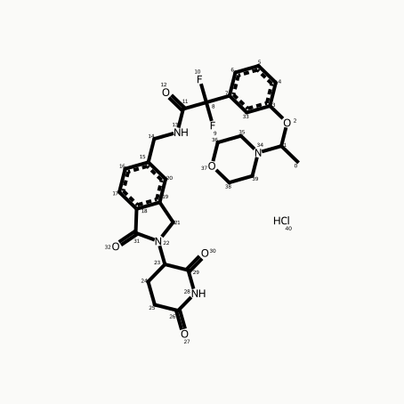 CC(Oc1cccc(C(F)(F)C(=O)NCc2ccc3c(c2)CN(C2CCC(=O)NC2=O)C3=O)c1)N1CCOCC1.Cl